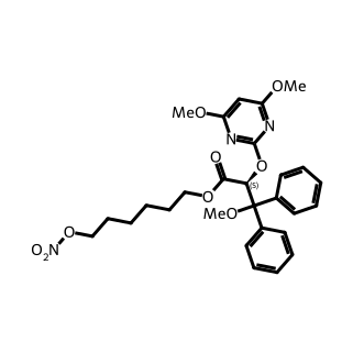 COc1cc(OC)nc(O[C@H](C(=O)OCCCCCCO[N+](=O)[O-])C(OC)(c2ccccc2)c2ccccc2)n1